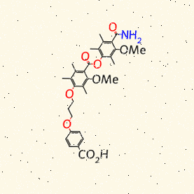 COc1c(C)c(OC(=O)c2c(C)c(C)c(OCCCOc3ccc(C(=O)O)cc3)c(C)c2OC)c(C)c(C)c1C(N)=O